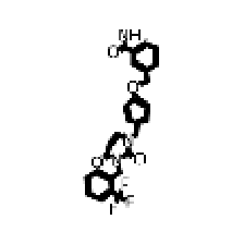 NC(=O)c1cccc(COc2ccc(Cn3ccc(=O)n(Cc4ccccc4C(F)(F)F)c3=O)cc2)c1